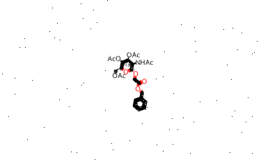 CC(=O)N[C@H]1[C@H](OCC(=O)OCc2ccccc2)O[C@H](COC(C)=O)[C@@H](OC(C)=O)[C@@H]1OC(C)=O